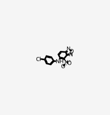 O=[N+]([O-])c1c(Nc2ccc(Cl)cc2)ccc2nonc12